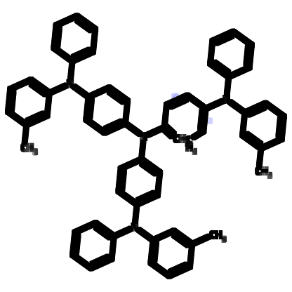 C=C(/C=C\C(=C/C)N(c1ccccc1)c1cccc(C)c1)N(c1ccc(N(c2ccccc2)c2cccc(C)c2)cc1)c1ccc(N(c2ccccc2)c2cccc(C)c2)cc1